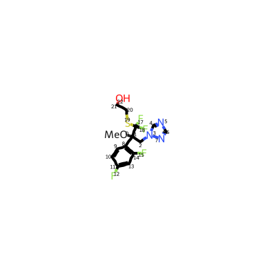 COC(Cn1cncn1)(c1ccc(F)cc1F)C(F)(F)SCCO